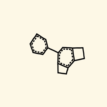 c1ccc(-c2cc3c(c4c2CC4)CC3)cc1